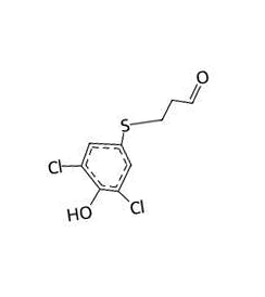 O=CCCSc1cc(Cl)c(O)c(Cl)c1